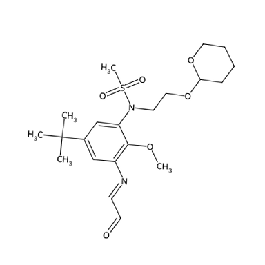 COc1c(N=CC=O)cc(C(C)(C)C)cc1N(CCOC1CCCCO1)S(C)(=O)=O